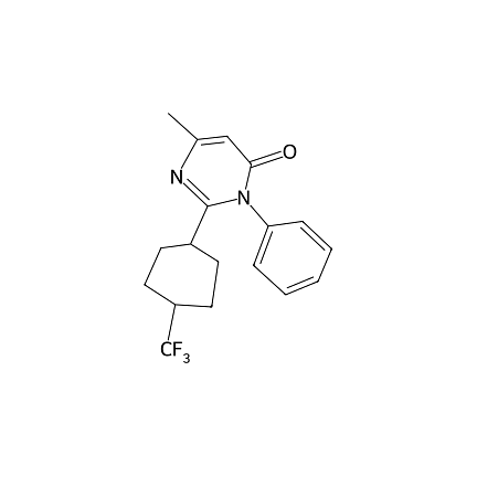 Cc1cc(=O)n(-c2ccccc2)c(C2CCC(C(F)(F)F)CC2)n1